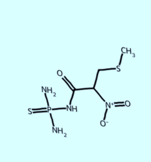 CSCC(C(=O)NP(N)(N)=S)[N+](=O)[O-]